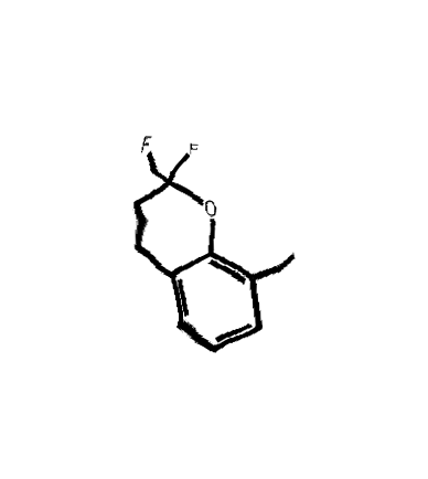 Cc1cccc2c1OC(F)(F)CC2